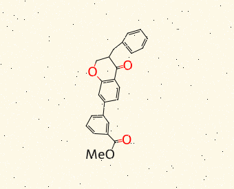 COC(=O)c1cccc(-c2ccc3c(c2)OCC(Cc2ccccc2)C3=O)c1